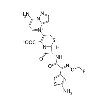 Nc1nc(C(=NOCF)C(=O)N[C@@H]2C(=O)N3C(C(=O)[O-])=C([n+]4ccc(N)n5nccc54)CS[C@@H]23)cs1